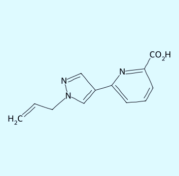 C=CCn1cc(-c2cccc(C(=O)O)n2)cn1